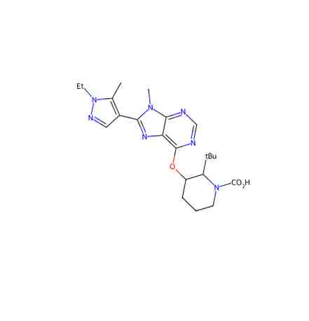 CCn1ncc(-c2nc3c(OC4CCCN(C(=O)O)C4C(C)(C)C)ncnc3n2C)c1C